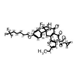 CCc1ccc(C2=C(C(=O)NS(=O)(=O)C3CC3)C(=O)NC(c3ccc(OCCCCCC(F)(F)F)cc3)(C(F)(F)F)C2)s1